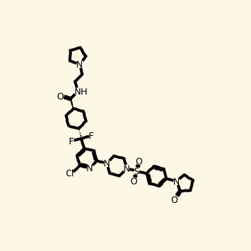 O=C1CCCN1c1ccc(S(=O)(=O)N2CCN(c3cc(C(F)(F)[C@H]4CC[C@H](C(=O)NCCN5CCCC5)CC4)cc(Cl)n3)CC2)cc1